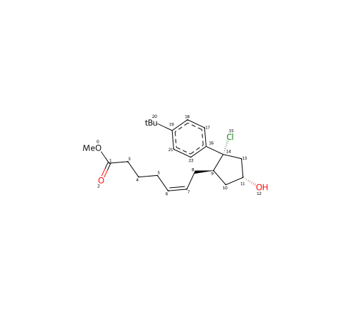 COC(=O)CCC/C=C\C[C@@H]1C[C@@H](O)C[C@]1(Cl)c1ccc(C(C)(C)C)cc1